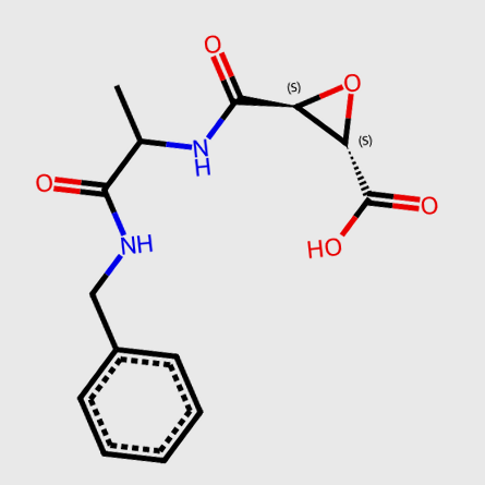 CC(NC(=O)[C@H]1O[C@@H]1C(=O)O)C(=O)NCc1ccccc1